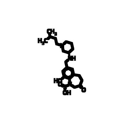 CC(C)CCN1CCC[C@H](NCc2cc(O)c3c(c2)CCC(=O)CN3S(=O)O)C1